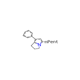 CCCCCc1cc(-c2ccccc2)c2n1CCC2